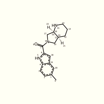 Cc1ccc2[nH]c(C(=O)N3C[C@@H]4CCCN[C@@H]4C3)cc2c1